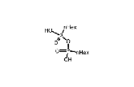 CCCCCCP(=O)(O)OP(=O)(O)CCCCCC